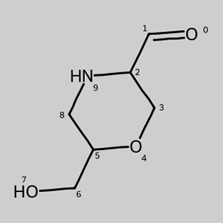 O=CC1COC(CO)CN1